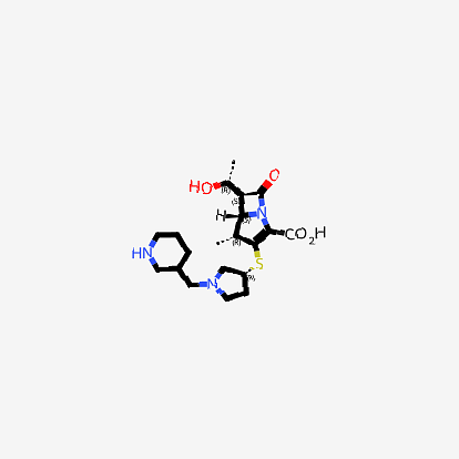 C[C@@H](O)[C@H]1C(=O)N2C(C(=O)O)=C(S[C@@H]3CCN(CC4CCCNC4)C3)[C@H](C)[C@H]12